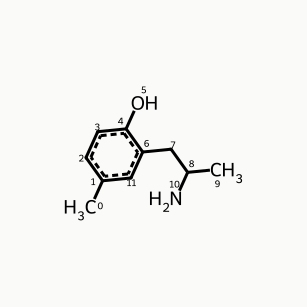 Cc1ccc(O)c(CC(C)N)c1